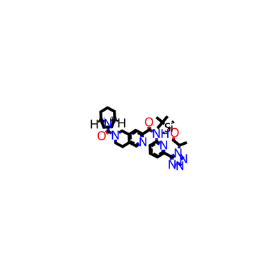 CC(CO[Si](C)(C)C(C)(C)C)n1nnnc1-c1cccc(NC(=O)c2cc3c(cn2)CCN(C(=O)N2[C@@H]4CCC[C@H]2CC4)C3)n1